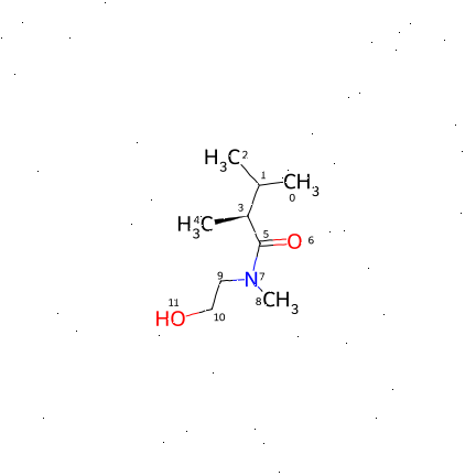 CC(C)[C@H](C)C(=O)N(C)CCO